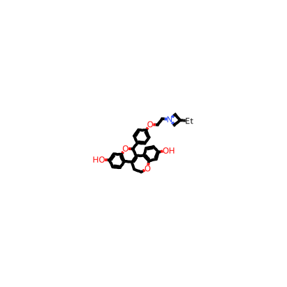 CCC1CN(CCOc2ccc(C3Oc4cc(O)ccc4C4=C3c3ccc(O)cc3OCC4)cc2)C1